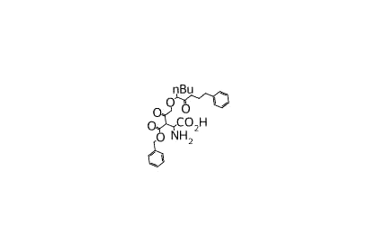 CCCCC(OCC(=O)C(C(=O)OCc1ccccc1)C(N)C(=O)O)C(=O)CCCc1ccccc1